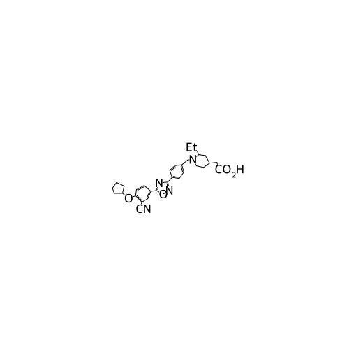 CCC1CC(CC(=O)O)CCN1Cc1ccc(-c2noc(-c3ccc(OC4CCCC4)c(C#N)c3)n2)cc1